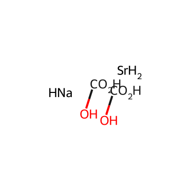 O=C(O)O.O=C(O)O.[NaH].[SrH2]